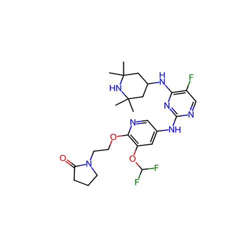 CC1(C)CC(Nc2nc(Nc3cnc(OCCN4CCCC4=O)c(OC(F)F)c3)ncc2F)CC(C)(C)N1